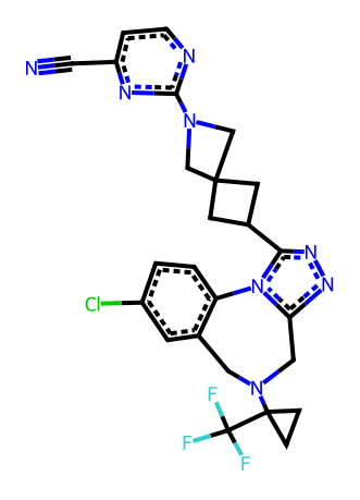 N#Cc1ccnc(N2CC3(CC(c4nnc5n4-c4ccc(Cl)cc4CN(C4(C(F)(F)F)CC4)C5)C3)C2)n1